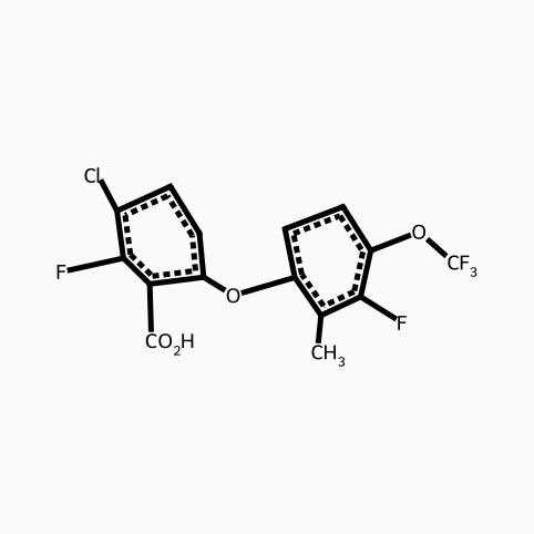 Cc1c(Oc2ccc(Cl)c(F)c2C(=O)O)ccc(OC(F)(F)F)c1F